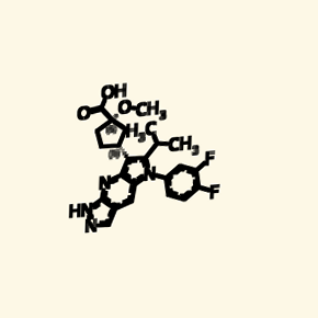 CO[C@@]1(C(=O)O)CC[C@@H](c2c(C(C)C)n(-c3ccc(F)c(F)c3)c3cc4cn[nH]c4nc23)C1